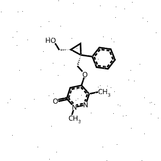 Cc1nn(C)c(=O)cc1OC[C@@]1(c2ccccc2)C[C@H]1CO